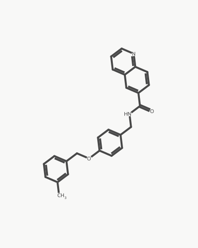 Cc1cccc(COc2ccc(CNC(=O)c3ccc4ncccc4c3)cc2)c1